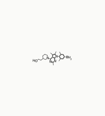 Bc1cc(C)c(-n2c(C)c(C)c3c(N4CCCC(CCO)C4)nc(C)nc32)c(C)c1